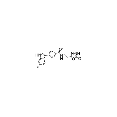 O=c1[nH]nc(CCN[S+]([O-])c2ccc(-c3c[nH]c4cc(F)ccc34)cc2)o1